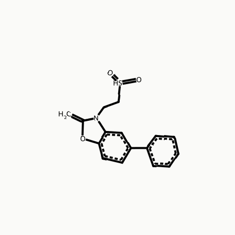 C=C1Oc2ccc(-c3ccccc3)cc2N1CC[SH](=O)=O